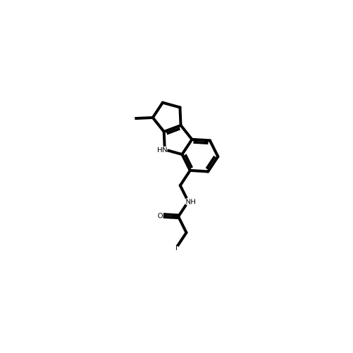 CC1CCc2c1[nH]c1c(CNC(=O)CI)cccc21